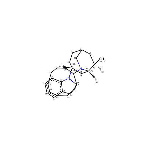 C[C@@H]1CC2CC[C@@H](N3CCc4ccccc43)C[C@@H]1N(C1CCCCCCCCC1)C2